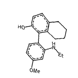 CCNc1cc(OC)ccc1-c1c(O)ccc2c1CCCC2